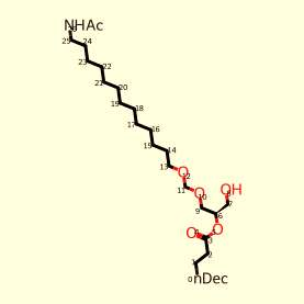 CCCCCCCCCCCCC(=O)O[C@H](CO)COCOCCCCCCCCCCCCCNC(C)=O